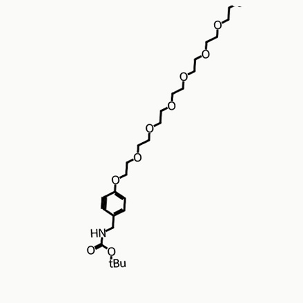 CC(C)(C)OC(=O)NCc1c#cc(OCCOCCOCCOCCOCCOCCOCCO)cc1